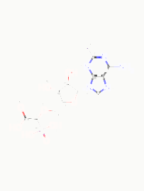 Nc1nc(I)nc2c1ncn2[C@@H]1O[C@H](CO[C@H](C(=O)O)P(=O)(O)O)[C@H](O)[C@H]1O